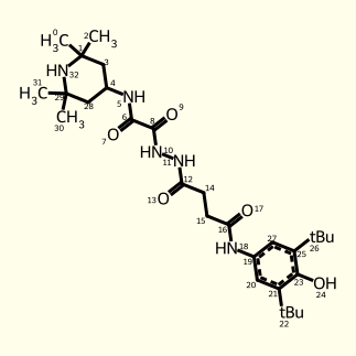 CC1(C)CC(NC(=O)C(=O)NNC(=O)CCC(=O)Nc2cc(C(C)(C)C)c(O)c(C(C)(C)C)c2)CC(C)(C)N1